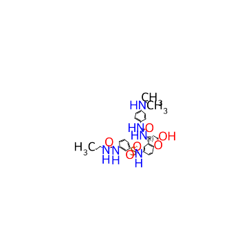 CCCNC(=O)Nc1cccc(S(=O)(=O)Nc2cccc([C@@H](CC(=O)O)NC(=O)Nc3ccc(NC(C)C)cc3)c2)c1